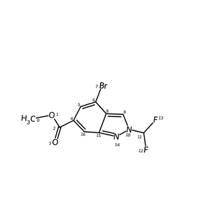 COC(=O)c1cc(Br)c2cn(C(F)F)nc2c1